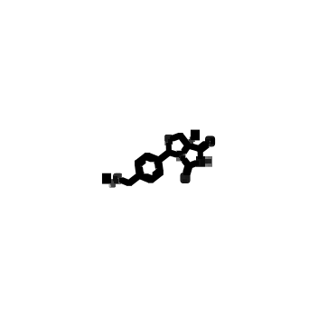 CCc1ccc(C2SC[C@H]3C(=O)NC(=O)N23)cc1